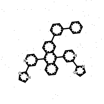 c1ccc(-c2cccc(-c3ccc4c(-c5ccnc(-c6ncco6)c5)c5ccccc5c(-c5ccnc(-c6ncco6)c5)c4c3)c2)cc1